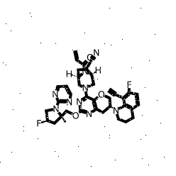 C#Cc1c(F)ccc2c1N([C@H]1COc3c(nc(OC[C@]4(C)C[C@@H](F)CN4c4ncccn4)nc3N3C[C@H]4CC(C#N)[C@@H](C3)N4C(=O)C=C)C1)CCC2